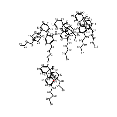 CCCCCc1ccc(-c2ccccc2C23CCC(CCCC)(CC2)CC3)c(F)c1.CCCCCc1ccc(C2C=CC=CC2(F)C23CCC(CC)(CC2)CC3)cc1.CCCCCc1ccc(C2C=CC=CC2(F)C23CCC(CCC)(CC2)CC3)cc1.CCCCCc1ccc(C2C=CC=CC2(F)C23CCC(CCCCC)(CC2)CC3)cc1